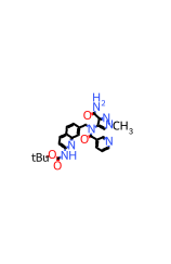 Cn1cc(N(Cc2ccc3ccc(NC(=O)OC(C)(C)C)nc3c2)C(=O)c2cccnc2)c(C(N)=O)n1